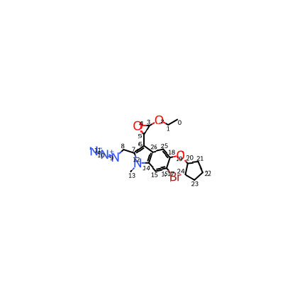 CCOC1OC1c1c(CN=[N+]=[N-])n(C)c2cc(Br)c(OC3CCCC3)cc12